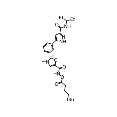 CCC(CC)NC(=O)c1cc(-c2cccc([C@@H]3OC(C(=O)NOC(=O)CCCC(C)(C)C)=CN3C)c2)[nH]n1